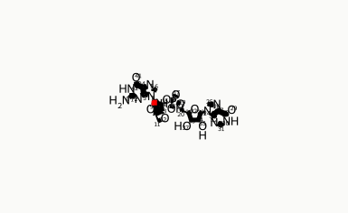 Nc1nc2c(ncn2[C@@H]2O[C@@]34CO[C@]3(C2OP(=O)(O)OC[C@H]2O[C@@H](n3cnc5c(=O)[nH]cnc53)[C@H](O)[C@@H]2O)C4O)c(=O)[nH]1